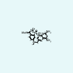 CCOP(=O)(OCC)c1cc(N(C)Cc2cnc3nc(N)nc(N)c3n2)ccc1C(=O)NC